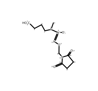 CN(CCCC(=O)O)[N+]([O-])=NOCN1C(=O)CCC1=O